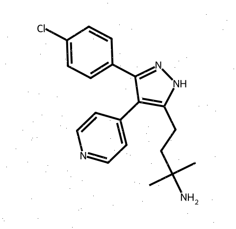 CC(C)(N)CCc1[nH]nc(-c2ccc(Cl)cc2)c1-c1ccncc1